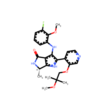 COc1c(F)cccc1Nc1c(-c2ccncc2OCC(C)(C)OC)[nH]c2c1C(=O)N[C@H]2C